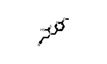 COc1ccc(CN(CCC#N)C(=S)S)cn1